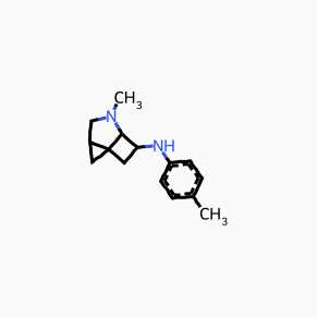 Cc1ccc(NC2CC34CC3CN(C)C24)cc1